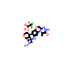 CC(C)N1CC(C)(Nc2cc3c(cc2C2CCOCC2)OCC2=NNC(=O)C(C)N23)C1.O=C(O)C(F)(F)F